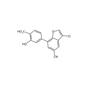 N#Cc1cc(-c2ccc(C(=O)O)c(O)c2)c2occ(Cl)c2c1